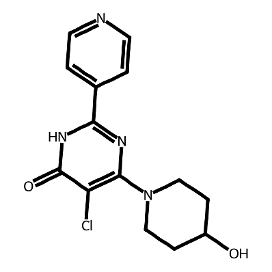 O=c1[nH]c(-c2ccncc2)nc(N2CCC(O)CC2)c1Cl